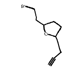 C#CCC1CCC(CCBr)O1